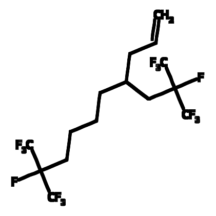 C=CCC(CCCCC(F)(C(F)(F)F)C(F)(F)F)CC(F)(C(F)(F)F)C(F)(F)F